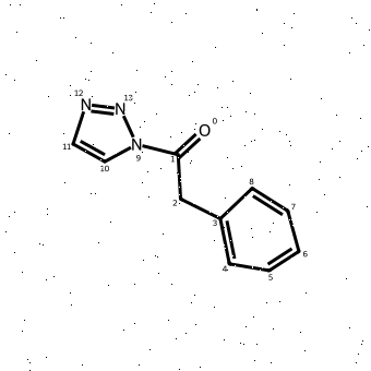 O=C(Cc1ccccc1)n1ccnn1